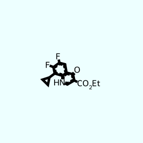 CCOC(=O)c1c[nH]c2c(C3CC3)c(F)c(F)cc2c1=O